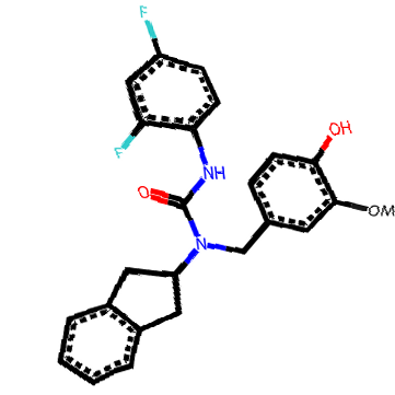 COc1cc(CN(C(=O)Nc2ccc(F)cc2F)C2Cc3ccccc3C2)ccc1O